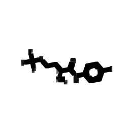 N[C@@H](CCSC(F)(F)F)C(=O)Nc1ccc(I)cc1